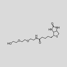 O=C(CCCC[C@@H]1SCC2NC(=O)NC21)NCCOCCOCCO